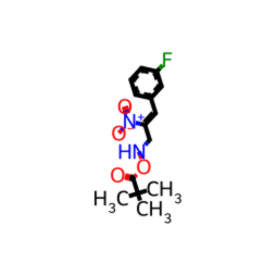 CC(C)(C)C(=O)ONCC(=Cc1cccc(F)c1)[N+](=O)[O-]